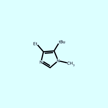 CCc1ncn(C)c1C(C)(C)C